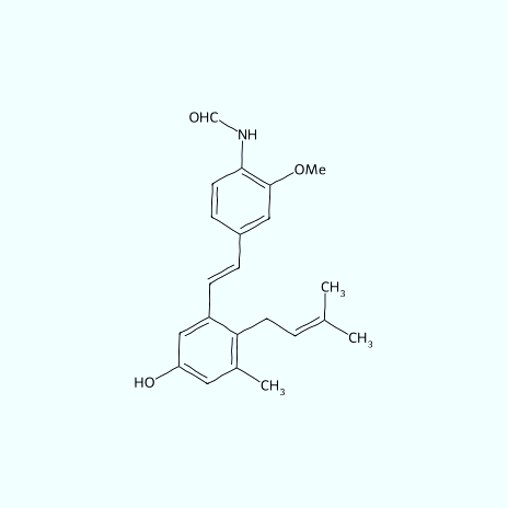 COc1cc(/C=C/c2cc(O)cc(C)c2CC=C(C)C)ccc1NC=O